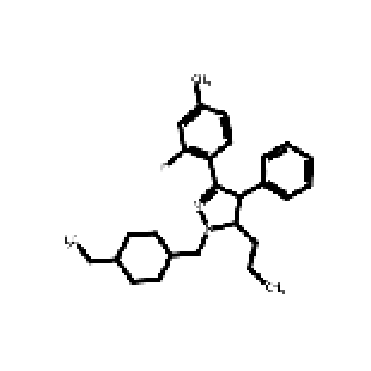 CCCC1C(c2ccccc2)C(c2ccc(C)cc2F)=NN1CC1CCC(CC)CC1